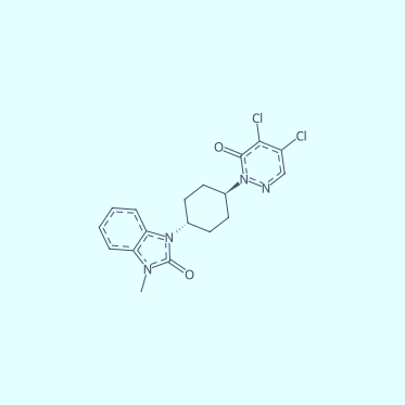 Cn1c(=O)n([C@H]2CC[C@H](n3ncc(Cl)c(Cl)c3=O)CC2)c2ccccc21